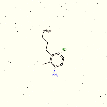 CCCCCCCCCCc1cccc(N)c1C.Cl